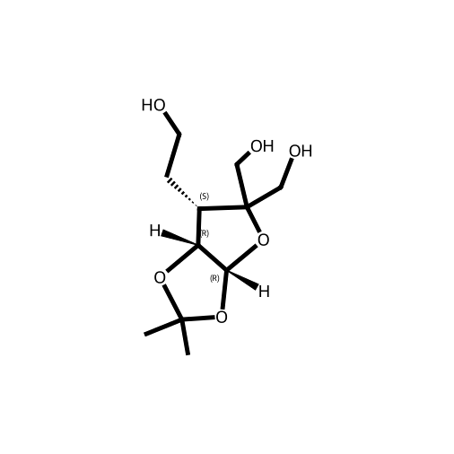 CC1(C)O[C@H]2OC(CO)(CO)[C@@H](CCO)[C@H]2O1